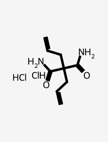 C=CCC(CC=C)(C(N)=O)C(N)=O.Cl.Cl